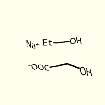 CCO.O=C([O-])CO.[Na+]